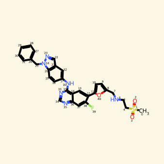 CS(=O)(=O)CCNCc1ccc(-c2cc3c(Nc4ccc5c(cnn5Cc5ccccc5)c4)ncnc3cc2F)o1